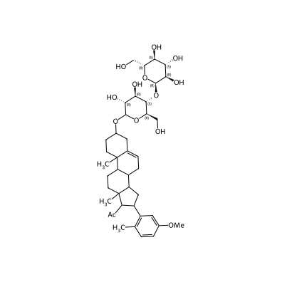 COc1ccc(C)c(C2CC3C4CC=C5CC(OC6O[C@H](CO)[C@@H](O[C@H]7O[C@H](CO)[C@@H](O)[C@H](O)[C@H]7O)[C@H](O)[C@H]6O)CCC5(C)C4CCC3(C)C2C(C)=O)c1